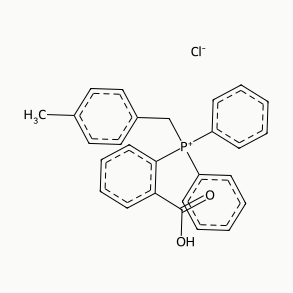 Cc1ccc(C[P+](c2ccccc2)(c2ccccc2)c2ccccc2C(=O)O)cc1.[Cl-]